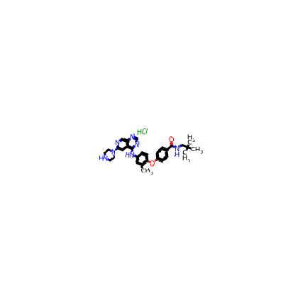 Cc1cc(Nc2ncnc3cnc(N4CCNCC4)cc23)ccc1Oc1ccc(C(=O)NCC(C)(C)C)cc1.Cl